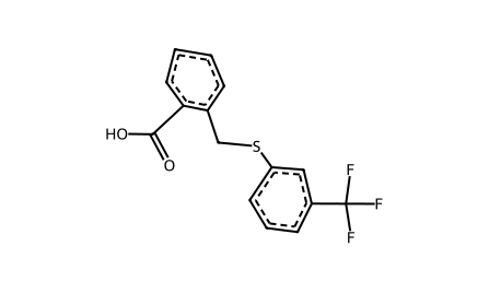 O=C(O)c1ccccc1CSc1cccc(C(F)(F)F)c1